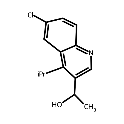 CC(C)c1c(C(C)O)cnc2ccc(Cl)cc12